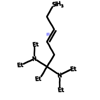 CCN(CC)C(CC)(C/C=C/C[SiH3])N(CC)CC